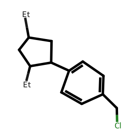 CCC1CC(CC)C(c2ccc(CCl)cc2)C1